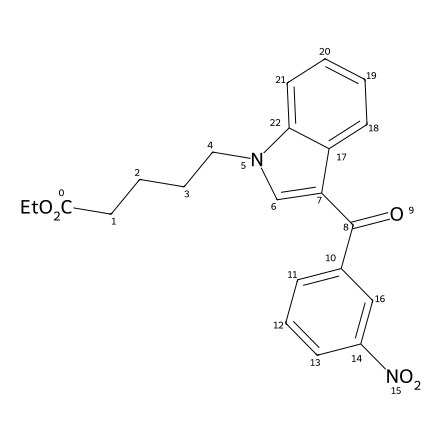 CCOC(=O)CCCCn1cc(C(=O)c2cccc([N+](=O)[O-])c2)c2ccccc21